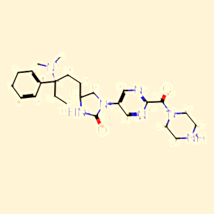 CN(C)[C@]1(C2=CCCC=C2)CC[C@]2(CC1)CN(c1cnc(C(=O)N3CCNCC3)nc1)C(=O)N2